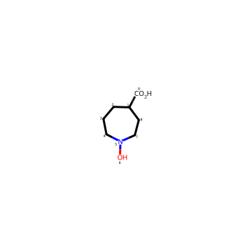 O=C(O)C1CCCN(O)CC1